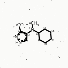 CN(c1c[nH]nc1C(=O)O)C1CCCCC1